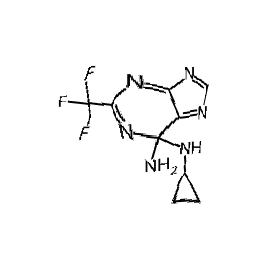 NC1(NC2CC2)N=C(C(F)(F)F)N=C2N=CN=C21